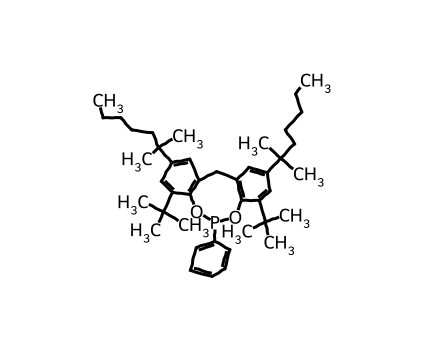 CCCCCC(C)(C)c1cc2c(c(C(C)(C)C)c1)OP(c1ccccc1)Oc1c(cc(C(C)(C)CCCCC)cc1C(C)(C)C)C2